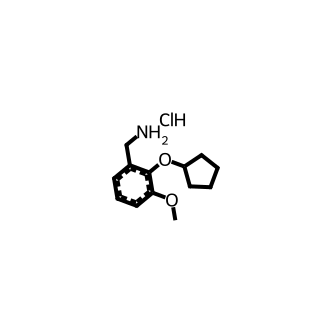 COc1cccc(CN)c1OC1CCCC1.Cl